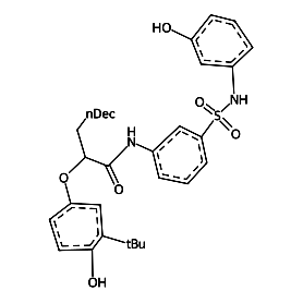 CCCCCCCCCCCC(Oc1ccc(O)c(C(C)(C)C)c1)C(=O)Nc1cccc(S(=O)(=O)Nc2cccc(O)c2)c1